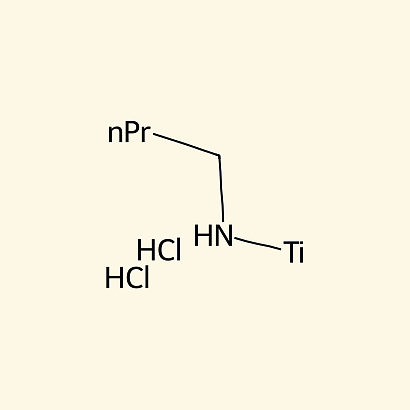 CCCC[NH][Ti].Cl.Cl